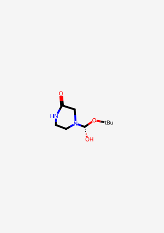 CC(C)(C)O[C@H](O)N1CCNC(=O)C1